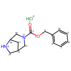 Cl.O=C(OCc1ccccc1)N1CC2CNC(C2)C1